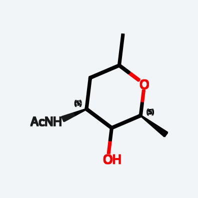 CC(=O)N[C@H]1CC(C)O[C@@H](C)C1O